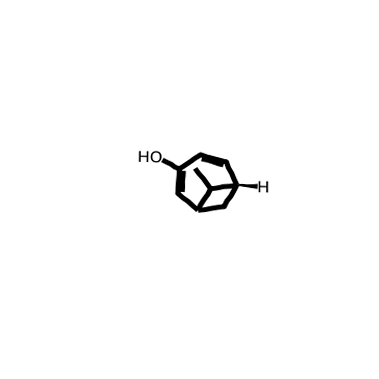 CC1C2C=C(O)C=C[C@@H]1C2